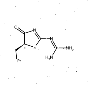 CC(C)C[C@@H]1SC(N=C(N)N)=NC1=O